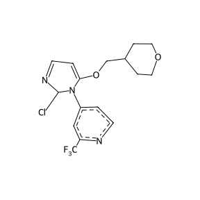 FC(F)(F)c1cc(N2C(OCC3CCOCC3)=CC=NC2Cl)ccn1